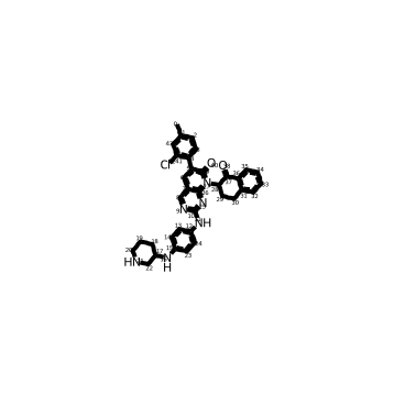 Cc1ccc(-c2cc3cnc(Nc4ccc(NC5CCCNC5)cc4)nc3n(C3CCc4ccccc4C3=O)c2=O)c(Cl)c1